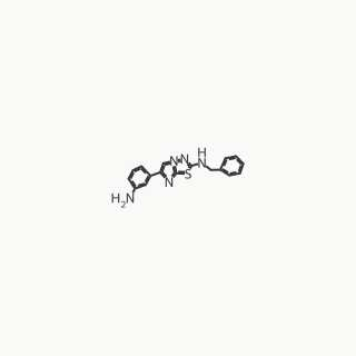 Nc1cccc(-c2cn3nc(NCc4ccccc4)sc3n2)c1